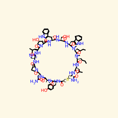 CCCC[C@H]1C(=O)N(C)[C@@H](CCCC)C(=O)N[C@@H](CC(C)C)C(=O)N[C@H](C(N)=O)CSCC(=O)N[C@@H](Cc2ccc(O)cc2)C(=O)N(C)[C@@H](C)C(=O)N[C@@H](CC(N)=O)C(=O)N2CCC[C@H]2C(=O)N[C@@H](CN)C(=O)N/C(=C\C(C)C)C(=O)N2C[C@H](O)C[C@H]2C(=O)N[C@@H]([C@@H](C)c2c[nH]c3ccccc23)C(=O)N[C@@H](CO)C(=O)N[C@@H](Cc2c[nH]c3ccccc23)C(=O)N1C